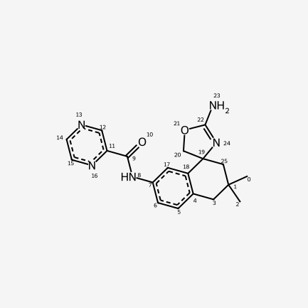 CC1(C)Cc2ccc(NC(=O)c3cnccn3)cc2C2(COC(N)=N2)C1